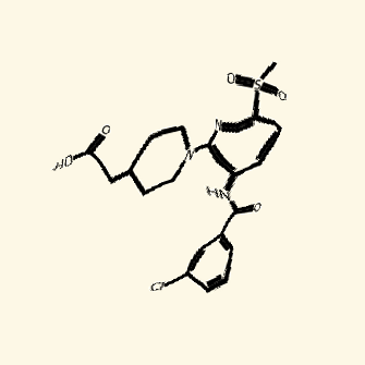 CS(=O)(=O)c1ccc(NC(=O)c2cccc(Cl)c2)c(N2CCC(CC(=O)O)CC2)n1